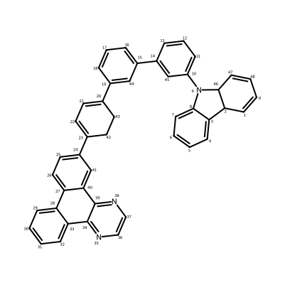 C1=CC2c3ccccc3N(c3cccc(-c4cccc(C5=CC=C(c6ccc7c8ccccc8c8nccnc8c7c6)CC5)c4)c3)C2C=C1